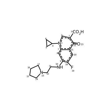 O=C(O)c1cn(C2CC2)c2cc(NCCN3CCCC3)c(F)cc2c1=O